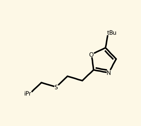 CC(C)CSCCc1ncc(C(C)(C)C)o1